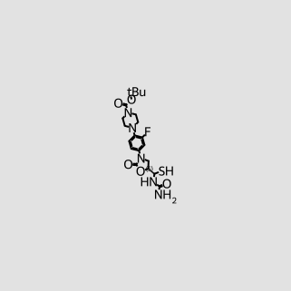 CC(C)(C)OC(=O)N1CCN(c2ccc(N3C[C@@H](C(S)NC(N)=O)OC3=O)cc2F)CC1